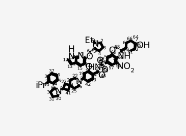 CCN1CCC[C@@H]1COc1nc2[nH]ccc2cc1Oc1cc(N2CCC3(CC2)CC(N2CCC[C@@H]2c2ccccc2C(C)C)C3)ccc1C(=O)NS(=O)(=O)c1cc2c(c([N+](=O)[O-])c1)N[C@@H]([C@H]1CC[C@](C)(O)CC1)CO2